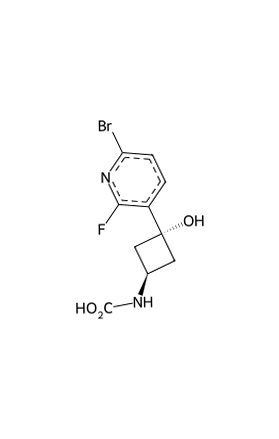 O=C(O)N[C@H]1C[C@@](O)(c2ccc(Br)nc2F)C1